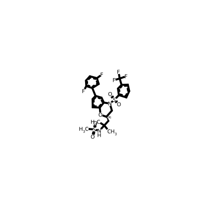 CC(C)(C[C@@H]1CN(S(=O)(=O)c2cccc(C(F)(F)F)c2)c2cc(-c3cc(F)ccc3F)ccc2O1)NS(C)(=O)=O